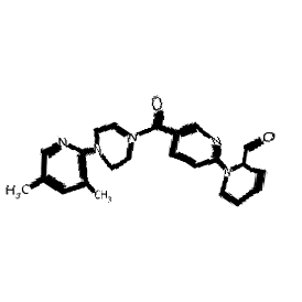 Cc1cnc(N2CCN(C(=O)c3ccc(N4CCCCC4C=O)nc3)CC2)c(C)c1